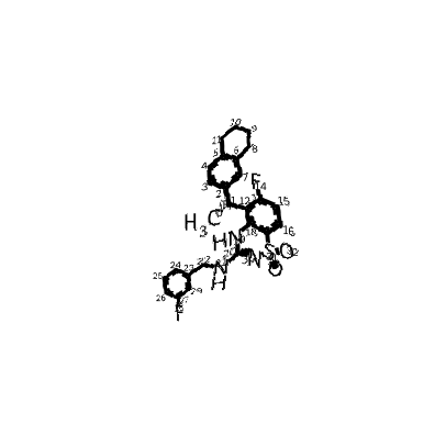 C[C@H](c1ccc2c(c1)CCCC2)c1c(F)ccc2c1NC(NCc1cccc(F)c1)=NS2(=O)=O